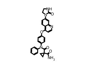 NC(=O)C1(C(=O)N(c2ccccc2)c2ccc(Oc3ccnc4cc(N5CCNC5=O)ccc34)cc2)CC1